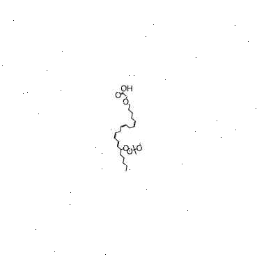 CCCCCC(/C=C/C=C\C/C=C\C/C=C\CCCCOCC(=O)O)OOC(C)(C)OC